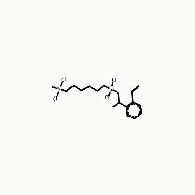 CCc1ccccc1C(C)C[Si](Cl)(Cl)CCCCCC[Si](C)(Cl)Cl